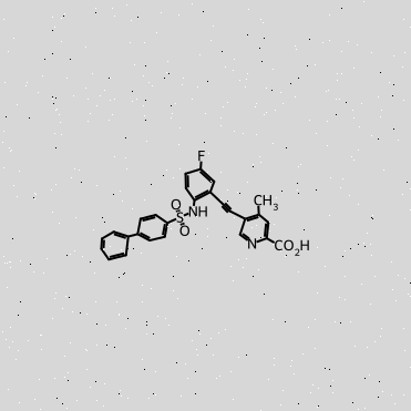 Cc1cc(C(=O)O)ncc1C#Cc1cc(F)ccc1NS(=O)(=O)c1ccc(-c2ccccc2)cc1